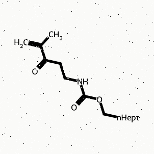 C=C(C)C(=O)CCNC(=O)OCCCCCCCC